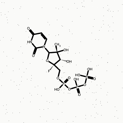 C[C@]1(O)C(n2ccc(=O)[nH]c2=O)O[C@](F)(COP(=O)(O)OP(=O)(O)OP(=O)(O)O)[C@H]1O